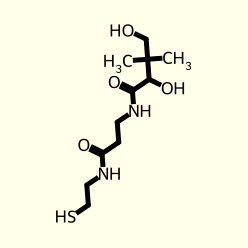 CC(C)(CO)C(O)C(=O)NCCC(=O)NCCS